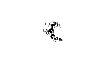 CC(C)(C)OC(=O)N1CCC(Oc2ncc(B3OC(C)(C)C(C)(C)O3)cc2C(N)=O)CC1